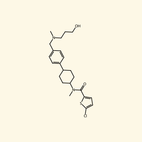 CN(CCCO)Cc1ccc(C2CCC(N(C)C(=O)c3ccc(Cl)s3)CC2)cc1